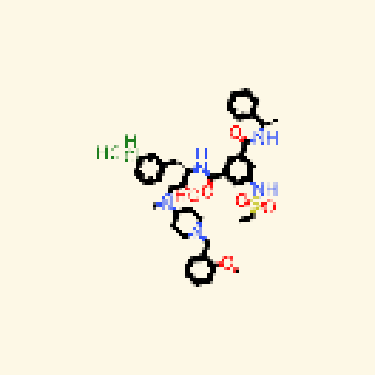 CCS(=O)(=O)Nc1cc(C(=O)N[C@@H](Cc2ccccc2)[C@H](O)CN(C)C2CCN(Cc3ccccc3OC)CC2)cc(C(=O)N[C@H](C)c2ccccc2)c1.Cl.Cl